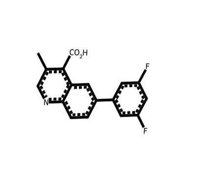 Cc1cnc2ccc(-c3cc(F)cc(F)c3)cc2c1C(=O)O